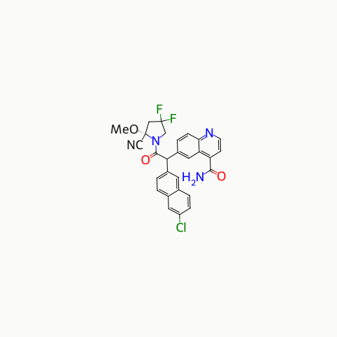 CO[C@]1(C#N)CC(F)(F)CN1C(=O)C(c1ccc2cc(Cl)ccc2c1)c1ccc2nccc(C(N)=O)c2c1